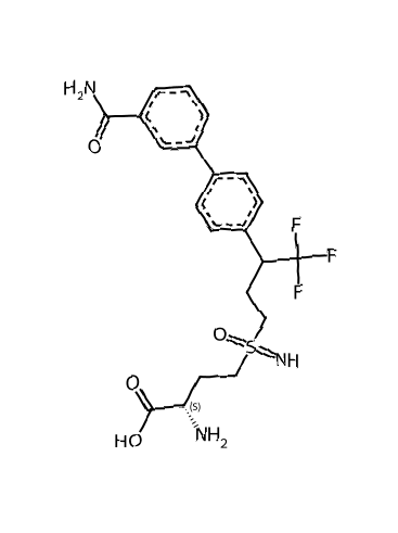 N=S(=O)(CCC(c1ccc(-c2cccc(C(N)=O)c2)cc1)C(F)(F)F)CC[C@H](N)C(=O)O